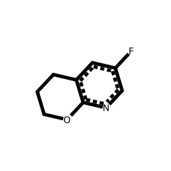 Fc1cnc2c(c1)CCCO2